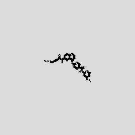 COCC#CC(=O)Nc1ccc2nccc(Oc3ccc(C(=O)Nc4cc(C)ccn4)cn3)c2c1